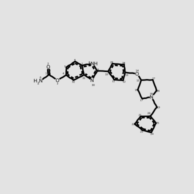 NC(=O)Oc1ccc2[nH]c(-c3ccc(OC4CCN(Cc5ccccc5)CC4)cc3)nc2c1